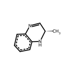 C[C@H]1C=Nc2ccccc2N1